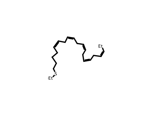 C[CH]SCCCC/C=C\C/C=C\C/C=C\C/C=C\C/C=C\CC